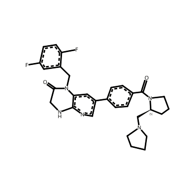 O=C1CNc2ncc(-c3ccc(C(=O)N4CCC[C@H]4CN4CCCC4)cc3)cc2N1Cc1cc(F)ccc1F